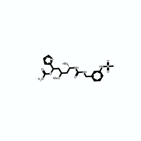 CCCC[C@@H](CC(CC(OC(N)=O)c1cccs1)OC)NC(=O)NCc1cccc(NS(C)(=O)=O)c1